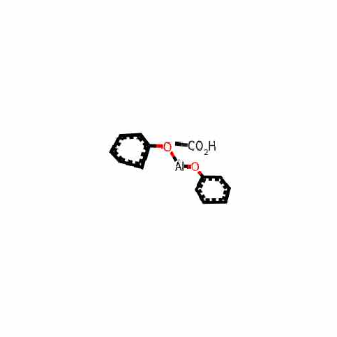 CC(=O)O.c1ccc([O][Al][O]c2ccccc2)cc1